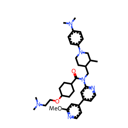 COc1cc(-c2ccnc(N(CC3CCN(c4ccc(N(C)C)cc4)CC3C)C(=O)C3CCC(OCCN(C)C)CC3)c2)ccn1